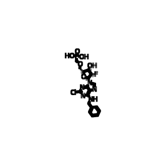 O=P(O)(O)COC[C@H]1O[C@@H](n2cnc3c(NCc4ccccc4)nc(Cl)nc32)[C@@H](F)[C@@H]1O